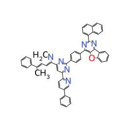 C=N/C(=C\C=C(/C)c1ccccc1)c1cc(-c2ccc(-c3ccccc3)cn2)nc(-c2ccc(-c3nc(-c4cccc5ccccc45)nc4c3oc3ccccc34)cc2)n1